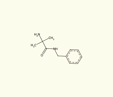 CC(C)(N)C(=O)NCc1ccccc1